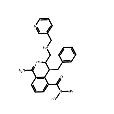 CCCN(CCC)C(=O)c1cccc(C(N)=O)c1[C@H](Cc1ccccc1)[C@@H](O)CNCc1cccnc1